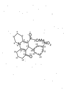 COC(=O)C1=C2CCCCN2C2=C(C(=O)CCC2)C1c1cccc([N+](=O)[O-])c1